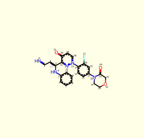 N=C/C=C(\Nc1ccccc1)c1nn(-c2ccc(N3CCOCC3=O)cc2F)ccc1=O